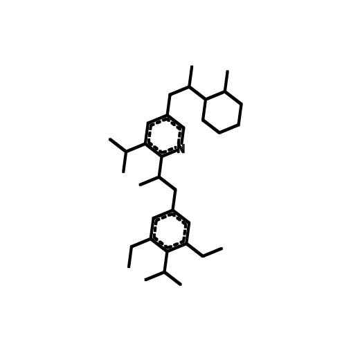 CCc1cc(CC(C)c2ncc(CC(C)C3CCCCC3C)cc2C(C)C)cc(CC)c1C(C)C